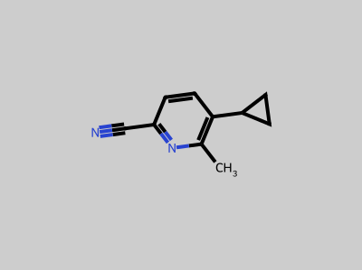 Cc1nc(C#N)ccc1C1CC1